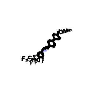 COCC1CCC(C2CCC(/C=C/c3ccc(OC(F)(F)C(F)C(F)(F)F)c(F)c3)CC2)CC1